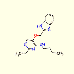 C=Cc1ncc(OCc2nc3ccccc3[nH]2)c(NCCCC)n1